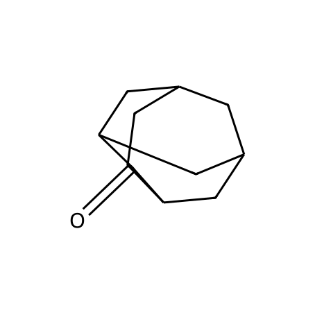 O=C1C2CCC3CC(C2)CC1C3